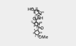 COc1cccc(C(=O)c2cc(C)c(C(=O)NC3C4CC5CC3CC(O)(C5)C4)n2C)c1